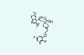 COc1ccc2ncc(N(C)C)c([C@H](O)CCC3(C(=O)O)CCN(CCOc4cc(F)cc(F)c4F)CC3)c2c1